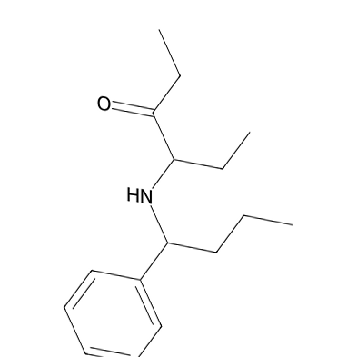 CCCC(NC(CC)C(=O)CC)c1ccccc1